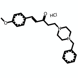 COc1ccc(C=CC(=O)CCN2CCN(Cc3ccccc3)CC2)cc1.Cl